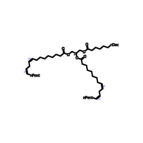 CCCCC/C=C\C/C=C\CCCCCCCC(=O)OC[C@@H](COC(=O)CCCCCCCCCCCCCCC)OC(=O)CCCCCCC/C=C\C/C=C\CCCCC